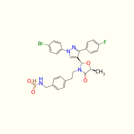 C[C@@H]1O[C@H](c2cn(-c3ccc(Br)cc3)nc2-c2ccc(F)cc2)N(CCc2ccc(CN[SH](=O)=O)cc2)C1=O